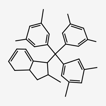 Cc1cc(C)cc(C(c2cc(C)cc(C)c2)(c2cc(C)cc(C)c2)C2C3=CC=CCC3CC2C)c1